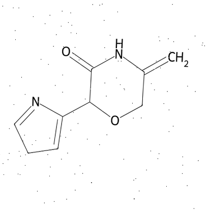 C=C1COC(C2=CCC=N2)C(=O)N1